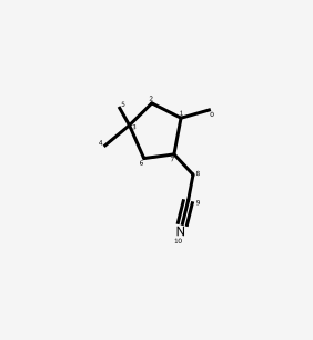 CC1CC(C)(C)CC1CC#N